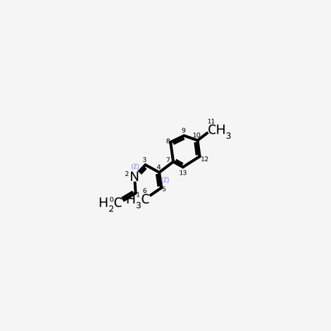 C=C/N=C\C(=C/C)c1ccc(C)cc1